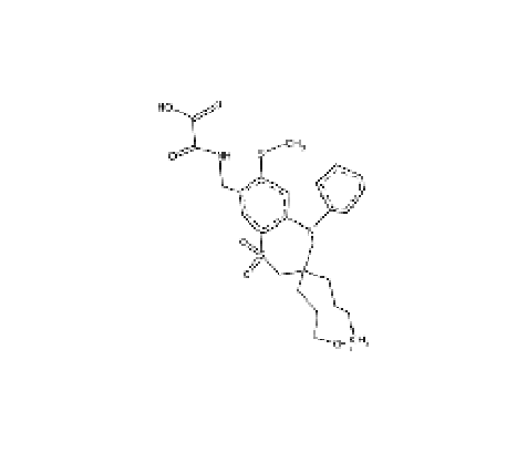 CCCCC1(CCCC)CN(c2ccccc2)c2cc(SC)c(CNC(=O)C(=O)O)cc2S(=O)(=O)C1